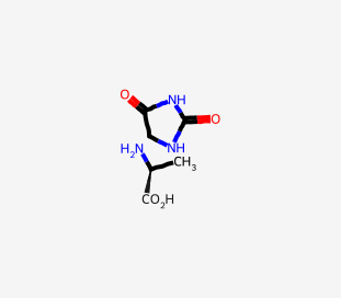 C[C@H](N)C(=O)O.O=C1CNC(=O)N1